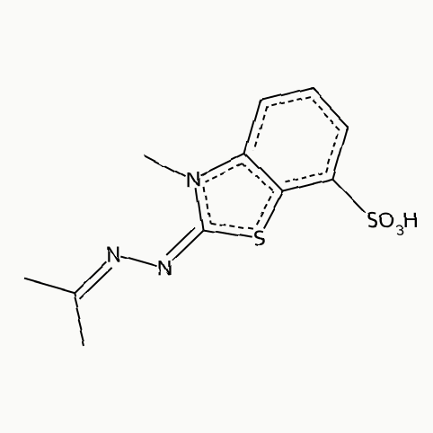 CC(C)=N/N=c1/sc2c(S(=O)(=O)O)cccc2n1C